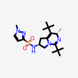 C[C@@H]1N=C(C(C)(C)C)N2C[C@@H](NS(=O)(=O)c3ccn(C)n3)CC2=C1C(C)(C)C